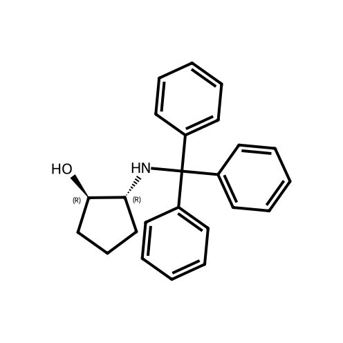 O[C@@H]1CCC[C@H]1NC(c1ccccc1)(c1ccccc1)c1ccccc1